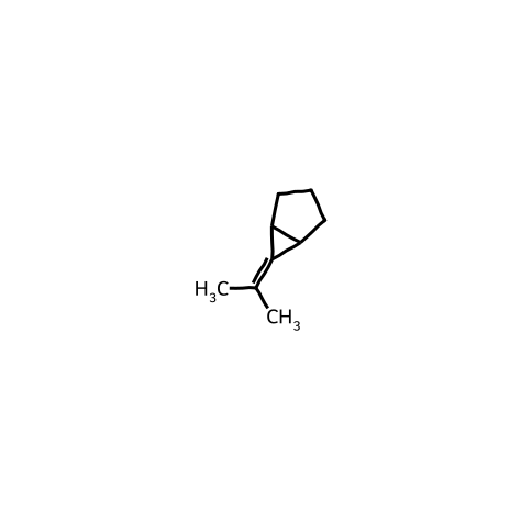 CC(C)=C1C2CCCC12